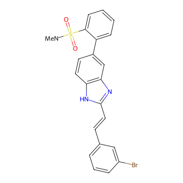 CNS(=O)(=O)c1ccccc1-c1ccc2[nH]c(C=Cc3cccc(Br)c3)nc2c1